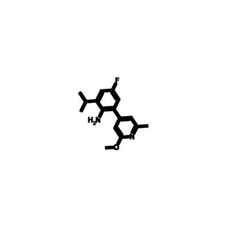 COc1cc(-c2cc(F)cc(C(C)C)c2N)cc(C)n1